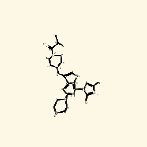 Cc1cn(-c2nc(N3CCOCC3)nc3c(CN4CCN(C(=O)C(C)C)CC4)csc23)c(C)n1